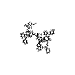 CCCCC(CC)C(=O)NC[C@@H]1CCN(CC(c2ccccc2)c2ccccc2)C(=O)[C@H](CCCNC(=N)N)N1.O=C(NC[C@@H]1CCN(CC(c2ccccc2)c2ccccc2)C(=O)[C@H](CCCNC2CCCCC2)N1)c1ccc2ccccc2c1